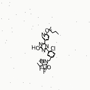 CCC[C@H](C)Oc1ccc(-c2nc(O)nc(-c3cc(CNC(=O)C(CC)(OC)C(F)(F)F)ccc3Cl)n2)cn1